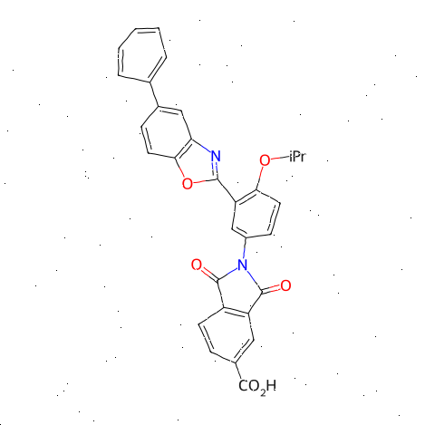 CC(C)Oc1ccc(N2C(=O)c3ccc(C(=O)O)cc3C2=O)cc1-c1nc2cc(-c3ccccc3)ccc2o1